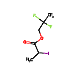 CC(I)C(=O)OCC(F)(F)C(F)(F)F